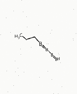 B=BB=BCCC